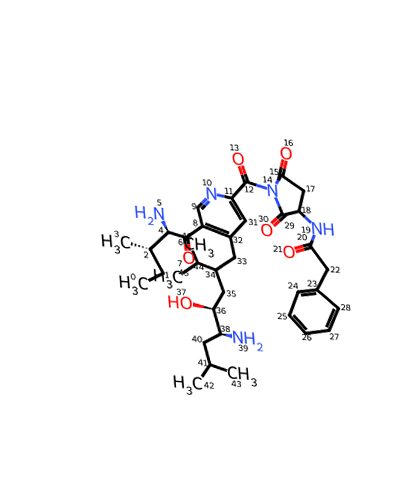 CC[C@H](C)[C@@H](N)C(=O)c1cnc(C(=O)N2C(=O)CC(NC(=O)Cc3ccccc3)C2=O)cc1CC(C[C@H](O)[C@@H](N)CC(C)C)C(C)C